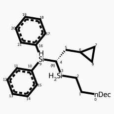 CCCCCCCCCCCC[SiH2][C@@H](CC1CC1)[SiH](c1ccccc1)c1ccccc1